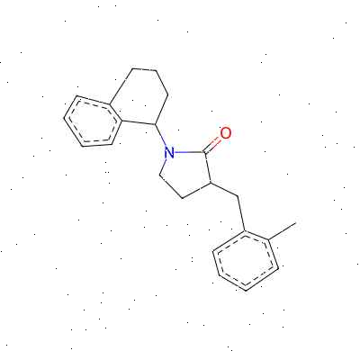 Cc1ccccc1CC1CCN(C2CCCc3ccccc32)C1=O